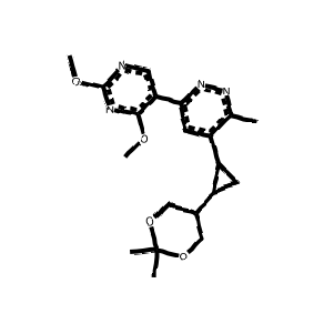 COc1ncc(-c2cc(C3CC3C3COC(C)(C)OC3)c(C)nn2)c(OC)n1